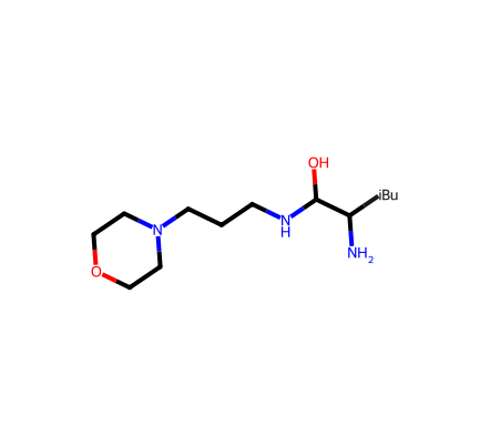 CCC(C)C(N)C(O)NCCCN1CCOCC1